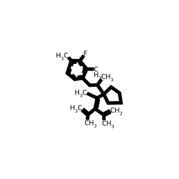 C=C(C)C(C(=C)C)=C(C)C1(C(C)Cc2ccc(C)c(F)c2C)CCCC1